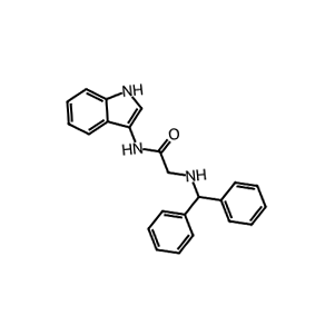 O=C(CNC(c1ccccc1)c1ccccc1)Nc1c[nH]c2ccccc12